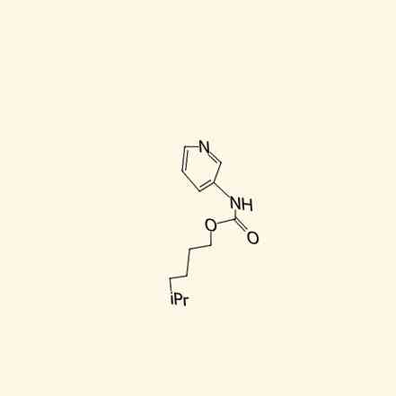 CC(C)CCCCOC(=O)Nc1cccnc1